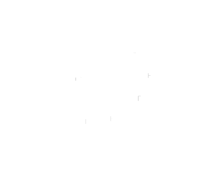 CC(C)c1c(F)c(F)c(F)c2c1=c1cc(F)c(F)c(F)c1=2